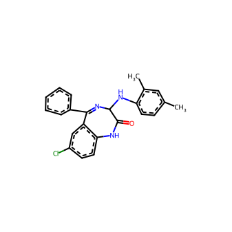 Cc1ccc(NC2N=C(c3ccccc3)c3cc(Cl)ccc3NC2=O)c(C)c1